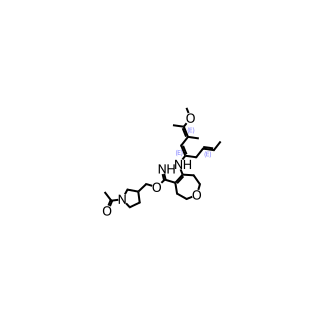 C/C=C/C/C(=C\C(C)=C(/C)OC)NC1=C(C(=N)OCC2CCN(C(C)=O)C2)CCOCC1